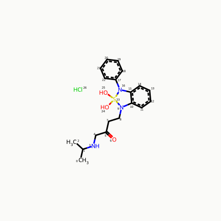 CC(C)NCC(=O)CCN1c2ccccc2N(c2ccccc2)S1(O)O.Cl